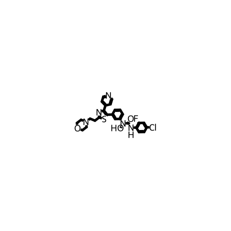 O=C(Nc1ccc(Cl)cc1F)N(O)c1cccc(-c2sc(CCN3CCOCC3)nc2-c2ccncc2)c1